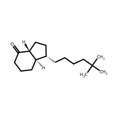 CC(C)(C)CCCC[C@H]1CC[C@H]2C(=O)CCC[C@H]12